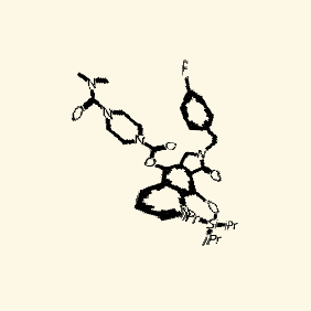 CC(C)[Si](Oc1c2c(c(OC(=O)N3CCN(C(=O)N(C)C)CC3)c3cccnc13)CN(Cc1ccc(F)cc1)C2=O)(C(C)C)C(C)C